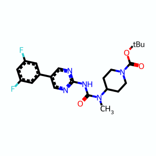 CN(C(=O)Nc1ncc(-c2cc(F)cc(F)c2)cn1)C1CCN(C(=O)OC(C)(C)C)CC1